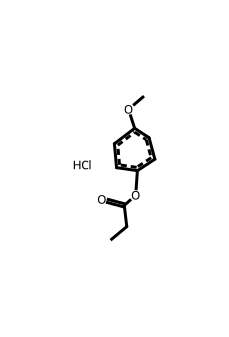 CCC(=O)Oc1ccc(OC)cc1.Cl